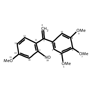 C=C(c1cc(OC)c(OC)c(OC)c1)c1ccc(OC)cc1N=O